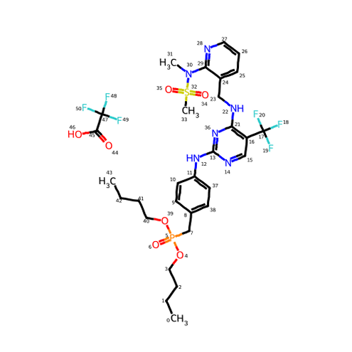 CCCCOP(=O)(Cc1ccc(Nc2ncc(C(F)(F)F)c(NCc3cccnc3N(C)S(C)(=O)=O)n2)cc1)OCCCC.O=C(O)C(F)(F)F